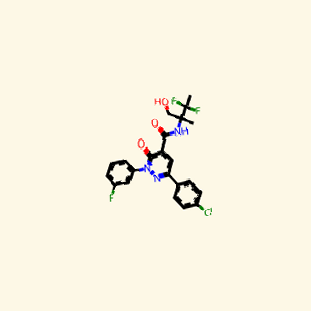 CC(F)(F)C(C)(CO)NC(=O)c1cc(-c2ccc(Cl)cc2)nn(-c2cccc(F)c2)c1=O